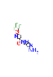 Nc1cc(CNC(=O)c2ccc(OCC(F)(F)F)nc2)ccn1